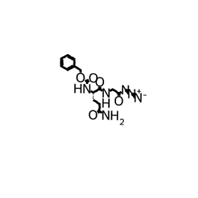 [N-]=[N+]=NC(=O)CNC(=O)[C@H](CCC(N)=O)NC(=O)OCc1ccccc1